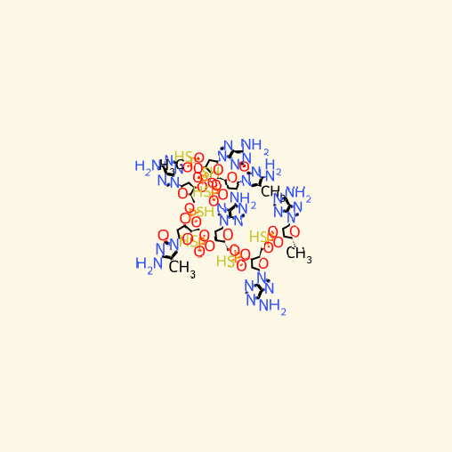 CC[C@H]1O[C@@H](n2cnc3c(N)ncnc32)CC1OP(=O)(S)OC[C@H]1O[C@@H](n2cnc3c(N)ncnc32)CC1OP(=O)(S)OC[C@H]1O[C@@H](n2cnc3c(N)ncnc32)CC1OP(=O)(S)OC[C@H]1O[C@@H](n2cc(C)c(N)nc2=O)CC1OP(=O)(S)OC[C@H]1O[C@@H](n2cnc3c(N)ncnc32)CC1OP(=O)(S)OC[C@H]1O[C@@H](n2cc(C)c(N)nc2=O)CC1OP(=O)(S)OC[C@H]1O[C@@H](n2cnc3c(N)ncnc32)CC1OP(=O)(S)OC